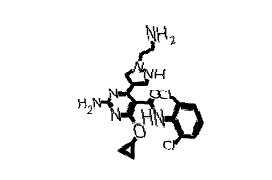 NCCN1CC(c2nc(N)nc(OC3CC3)c2C(=O)Nc2c(Cl)cccc2Cl)=CN1